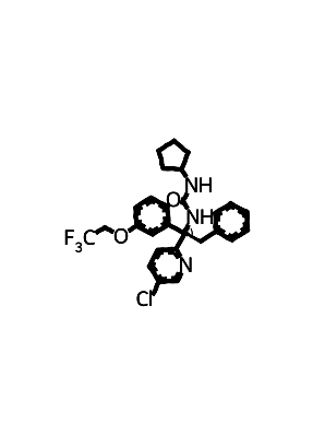 O=C(NC1CCCC1)N[C@@](Cc1ccccc1)(c1cccc(OCC(F)(F)F)c1)c1ccc(Cl)cn1